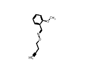 C#CCCON=[C]c1ccccc1OC